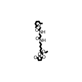 CCOC(C)(CCCCCNC(=O)CCNC(=O)CN1C(C)CCCC1C)ON1C(=O)CCC1=O